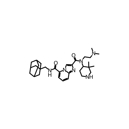 CN(C)CCN(C(=O)c1cn2c(C(=O)NCC34CC5CC(CC(C5)C3)C4)cccc2n1)C1CCNCC1(C)C